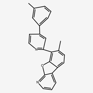 Cc1cccc(-c2ccnc(-c3c(C)ccc4c3oc3ncccc34)c2)c1